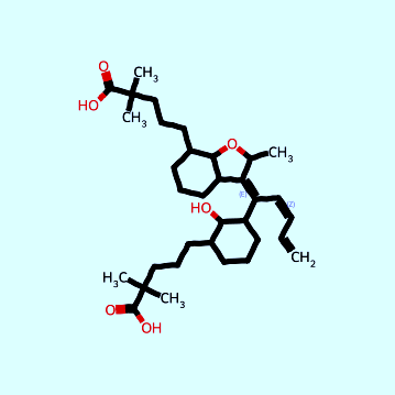 C=C/C=C\C(=C1/C(C)OC2C(CCCC(C)(C)C(=O)O)CCCC12)C1CCCC(CCCC(C)(C)C(=O)O)C1O